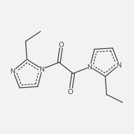 CCc1nccn1C(=O)C(=O)n1ccnc1CC